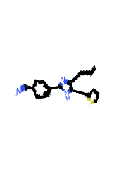 CCCc1nc(-c2ccc(C#N)cc2)[nH]c1-c1cccs1